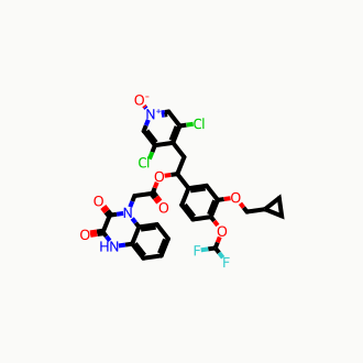 O=C(Cn1c(=O)c(=O)[nH]c2ccccc21)OC(Cc1c(Cl)c[n+]([O-])cc1Cl)c1ccc(OC(F)F)c(OCC2CC2)c1